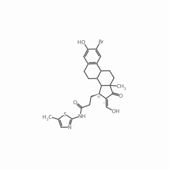 Cc1cnc(NC(=O)CC[C@@H]2/C(=C/O)C(=O)C3(C)CCC4c5cc(Br)c(O)cc5CCC4C23)s1